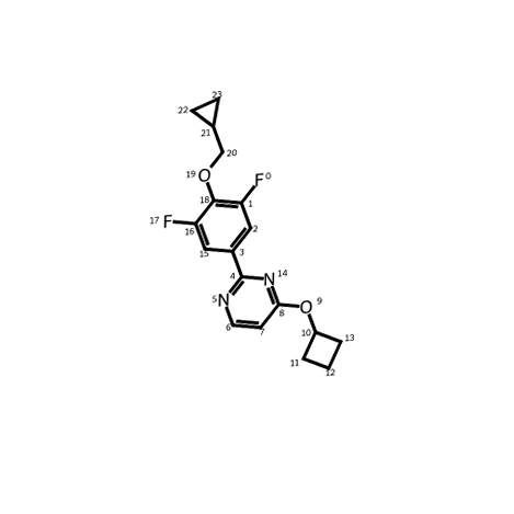 Fc1cc(-c2nccc(OC3CCC3)n2)cc(F)c1OCC1CC1